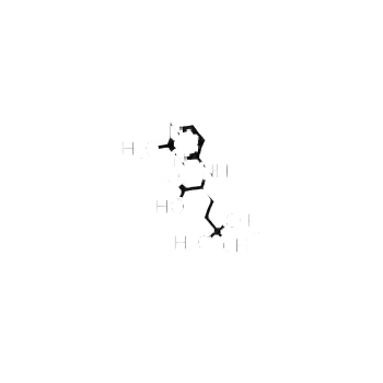 Cc1nccc(N[C@@H](CCC(C)(C)C)C(=O)O)n1